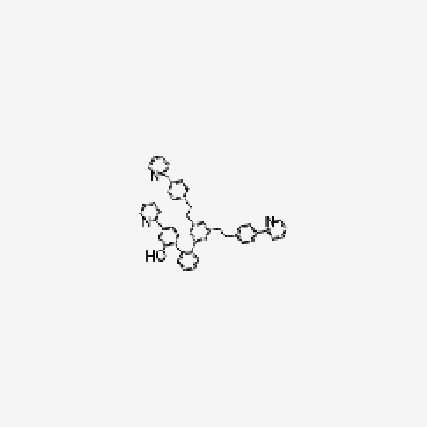 Oc1cc(-c2ccccn2)ccc1-c1ccccc1-c1cc(CCc2ccc(-c3ccccn3)cc2)cc(CCc2ccc(-c3ccccn3)cc2)c1